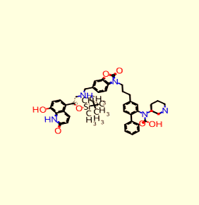 CC(C)(C)[Si](C)(C)O[C@@H](CNCc1ccc2c(c1)oc(=O)n2CCCc1ccc(-c2ccccc2)c(N(C(=O)O)C2CN3CCC2CC3)c1)c1ccc(O)c2[nH]c(=O)ccc12